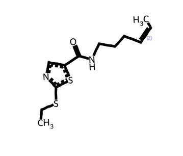 C/C=C\CCCNC(=O)c1cnc(SCC)s1